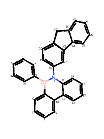 c1ccc(B2c3ccccc3-c3ccccc3N2c2ccc3c(c2)-c2ccccc2C3)cc1